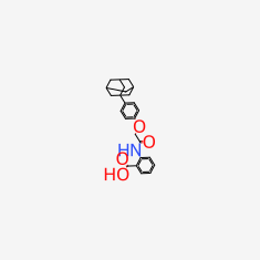 O=C(COc1ccc(C23CC4CC(CC(C4)C2)C3)cc1)Nc1ccccc1C(=O)O